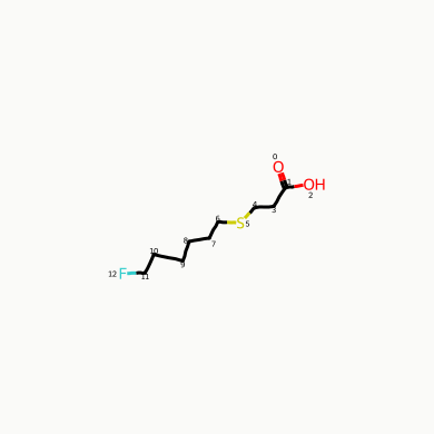 O=C(O)CCSCCCCCCF